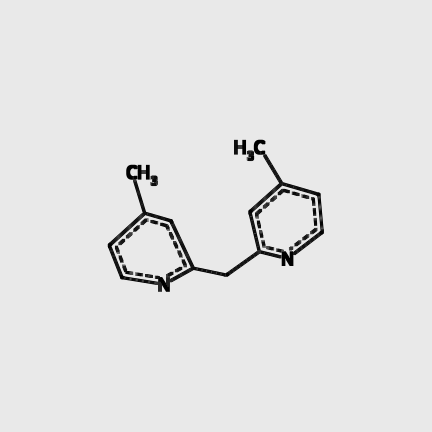 Cc1ccnc(Cc2cc(C)ccn2)c1